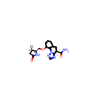 CC[C@@H]1CC(=O)N[C@@H]1COc1cccc2cc(C(N)=O)c3ncnn3c12